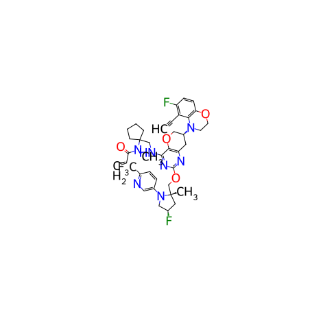 C#Cc1c(F)ccc2c1N([C@@H]1COc3c(nc(OC[C@]4(C)C[C@@H](F)CN4c4ccc(C(F)(F)F)nc4)nc3NCC3(N(C)C(=O)C=C)CCCC3)C1)CCO2